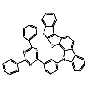 c1ccc(-c2nc(-c3ccccc3)nc(-c3cccc(-n4c5ccccc5c5ccc6c(sc7sc8ccccc8c76)c54)c3)n2)cc1